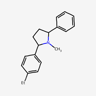 CCc1ccc(C2CCC(c3ccccc3)N2C)cc1